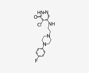 O=c1[nH]ncc(NCCN2CCN(c3ccc(F)cc3)CC2)c1Cl